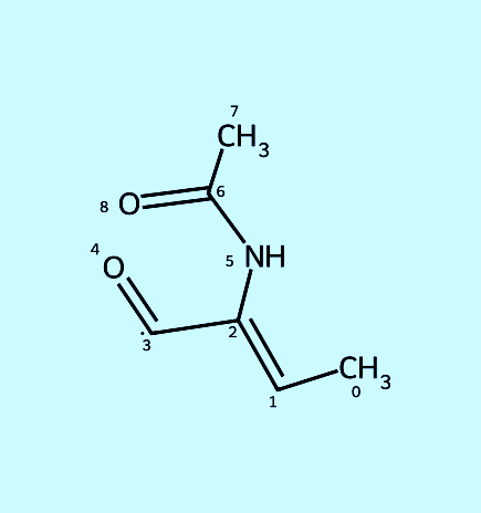 CC=C([C]=O)NC(C)=O